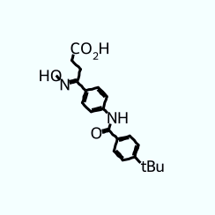 CC(C)(C)c1ccc(C(=O)Nc2ccc(C(CCC(=O)O)=NO)cc2)cc1